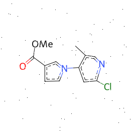 COC(=O)c1ccn(-c2cc(Cl)ncc2C)c1